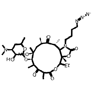 CCC1OC(=O)C(C)C(=O)C(C)[C@@H](OC2OC(C)CC(N(C)C)C2O)[C@@](C)(OC)C[C@@H](C)C(=O)[C@H](C)C2N(CCCCN=[N+]=[N-])C(=O)O[C@]12C